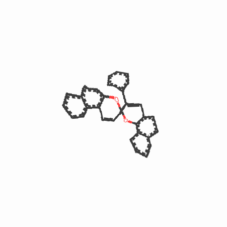 C1=CC2(Oc3ccc4ccccc4c31)Oc1c(ccc3ccccc13)C=C2c1ccccc1